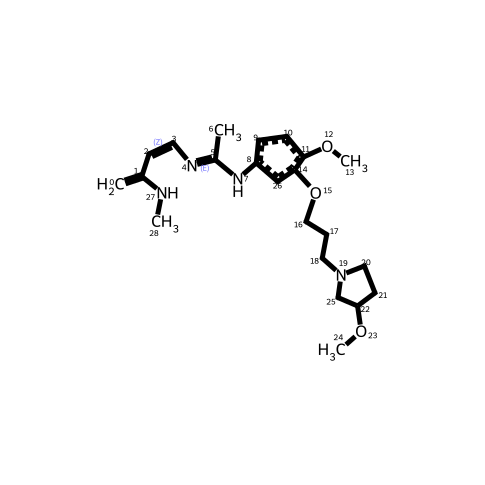 C=C(/C=C\N=C(/C)Nc1ccc(OC)c(OCCCN2CCC(OC)C2)c1)NC